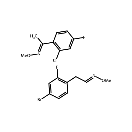 CON=C(C)c1ccc(F)cc1Cl.CON=CCc1ccc(Br)cc1F